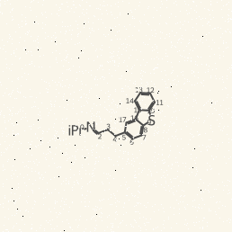 CC(C)N=CCCc1ccc2sc3ccccc3c2c1